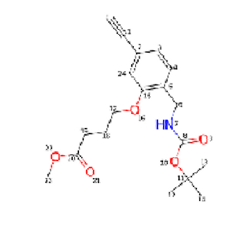 C#Cc1ccc(CNC(=O)OC(C)(C)C)c(OCCCC(=O)OC)c1